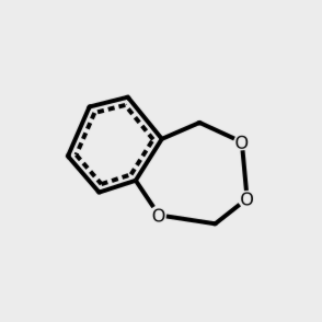 c1ccc2c(c1)COOCO2